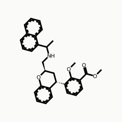 COC(=O)c1cccc([C@H]2C[C@H](CNC(C)c3cccc4ccccc34)Oc3ccccc32)c1OC